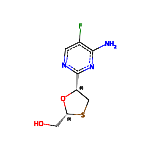 Nc1nc([C@@H]2CS[C@H](CO)O2)ncc1F